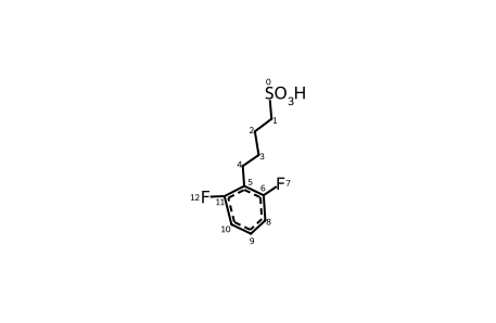 O=S(=O)(O)CCCCc1c(F)cccc1F